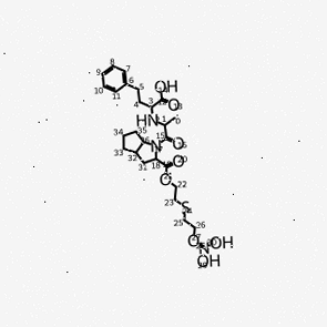 CC(NC(CCc1ccccc1)C(=O)O)C(=O)N1C(C(=O)OCCSCCON(O)O)CC2CCCC21